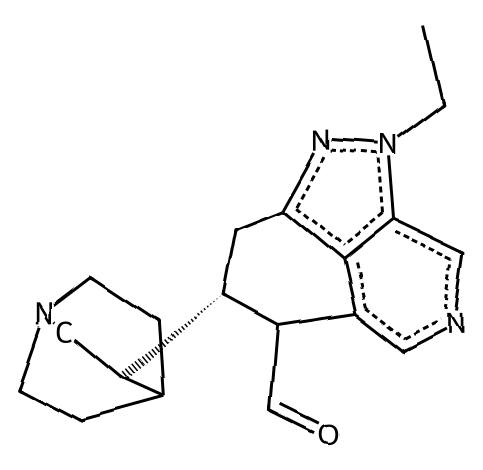 CCn1nc2c3c(cncc31)C(C=O)[C@H](C1CN3CCC1CC3)C2